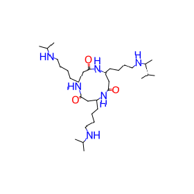 CC(C)NCCCCC1CC(=O)NC(CCCCNC(C)C)CC(=O)NC(CCCCNC(C)C(C)C)CC(=O)N1